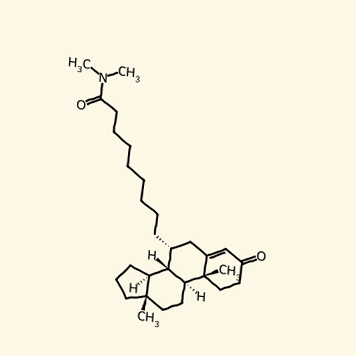 CN(C)C(=O)CCCCCCCC[C@@H]1CC2=CC(=O)CC[C@]2(C)[C@H]2CC[C@]3(C)CCC[C@H]3[C@H]12